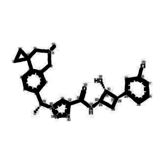 C[C@H](c1ccc2c(c1)CN(C)CC21CC1)n1cc(C(=O)N[C@@H]2C[C@H](c3cccc(Cl)c3)[C@H]2O)nn1